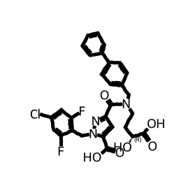 O=C(O)c1cc(C(=O)N(CC[C@@H](O)C(=O)O)Cc2ccc(-c3ccccc3)cc2)nn1Cc1c(F)cc(Cl)cc1F